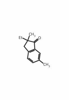 CCC1(C)Cc2ccc(C)cc2C1=O